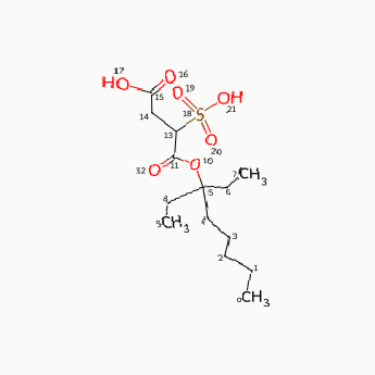 CCCCCC(CC)(CC)OC(=O)C(CC(=O)O)S(=O)(=O)O